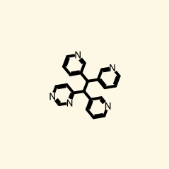 c1cncc(C(c2cccnc2)C(c2cccnc2)c2ccncn2)c1